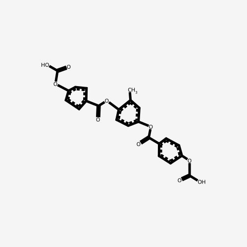 Cc1cc(OC(=O)c2ccc(OC(=O)O)cc2)ccc1OC(=O)c1ccc(OC(=O)O)cc1